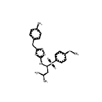 COc1ccc(S(=O)(=O)C(CC(C)N)Nc2nc(Cc3ccc(C)cc3)ns2)cc1